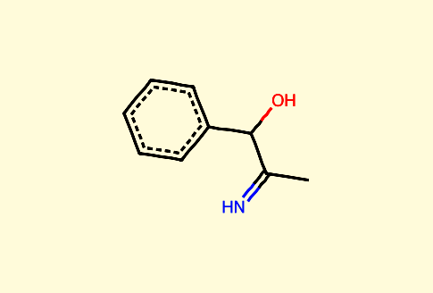 CC(=N)C(O)c1ccccc1